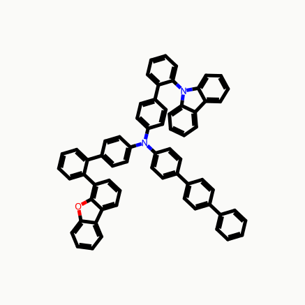 c1ccc(-c2ccc(-c3ccc(N(c4ccc(-c5ccccc5-c5cccc6c5oc5ccccc56)cc4)c4ccc(-c5ccccc5-n5c6ccccc6c6ccccc65)cc4)cc3)cc2)cc1